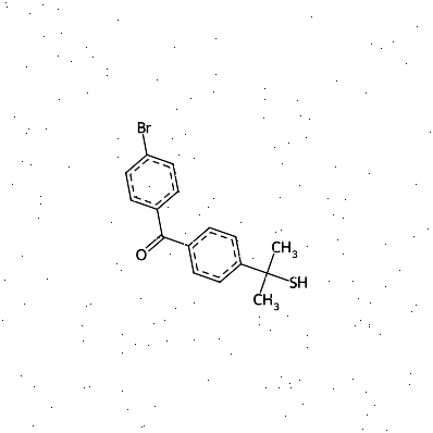 CC(C)(S)c1ccc(C(=O)c2ccc(Br)cc2)cc1